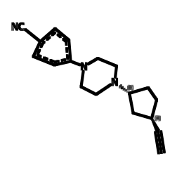 C#C[C@@H]1CC[C@@H](N2CCN(c3ccc(C#N)cc3)CC2)C1